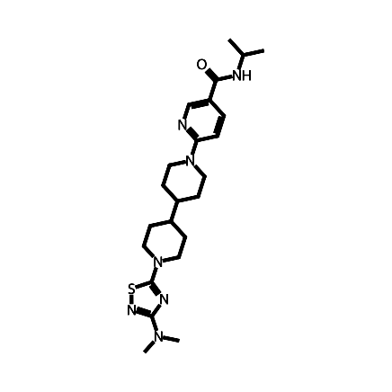 CC(C)NC(=O)c1ccc(N2CCC(C3CCN(c4nc(N(C)C)ns4)CC3)CC2)nc1